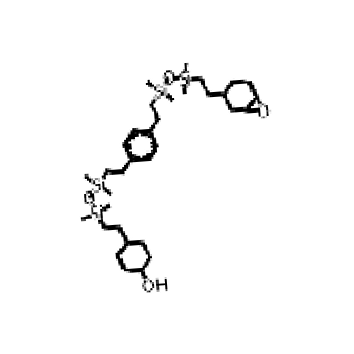 C[Si](C)(CCc1ccc(CC[Si](C)(C)O[Si](C)(C)CCC2CCC3OC3C2)cc1)O[Si](C)(C)CCC1CCC(O)CC1